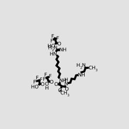 COC(C(=O)NCCCCCCCCNC(=N)N)C(=O)NCCCCNCCC(C)N.O=C(O)C(F)(F)F.O=C(O)C(F)(F)F.O=C(O)C(F)(F)F